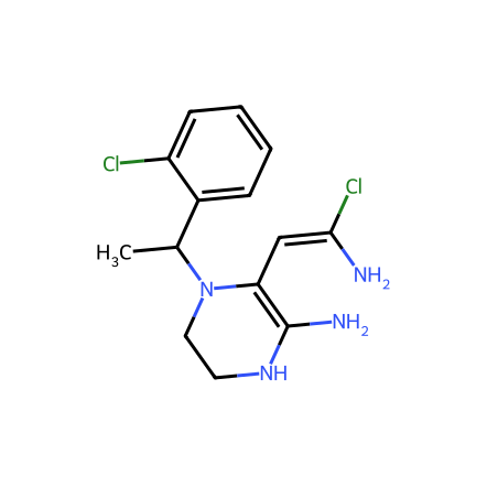 CC(c1ccccc1Cl)N1CCNC(N)=C1/C=C(\N)Cl